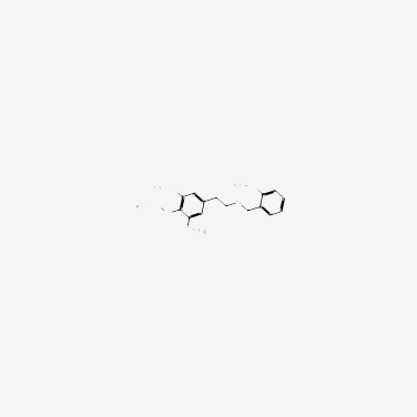 CCCCCSc1c(OC)cc(CCNCc2ccccc2OC)cc1OC